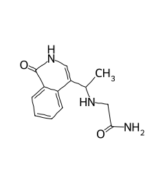 CC(NCC(N)=O)c1c[nH]c(=O)c2ccccc12